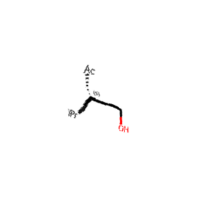 CC(=O)[C@H](CO)C(C)C